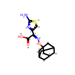 Nc1nc(/C(=N/OC23CC4CC(CC(C4)C2)C3)C(=O)O)cs1